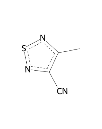 Cc1nsnc1C#N